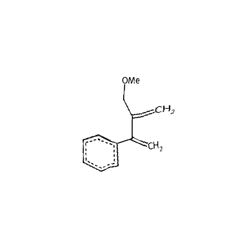 C=C(COC)C(=C)c1ccccc1